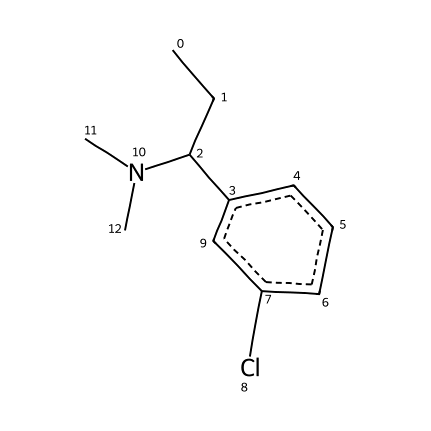 CCC(c1cccc(Cl)c1)N(C)C